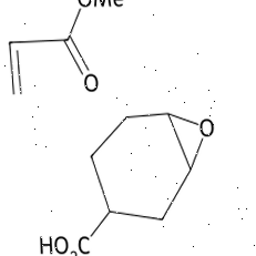 C=CC(=O)OC.O=C(O)C1CCC2OC2C1